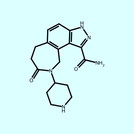 NC(=O)c1n[nH]c2ccc3c(c12)CN(C1CCNCC1)C(=O)[CH]C3